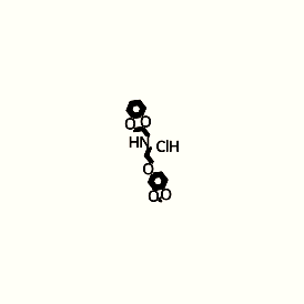 Cl.c1ccc2c(c1)OCC(CNCCCOc1ccc3c(c1)OCO3)O2